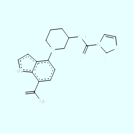 C[C@H]1OC=CN1C(=O)NC1CCCN(c2ccc(C(N)=O)c3[nH]ccc23)C1